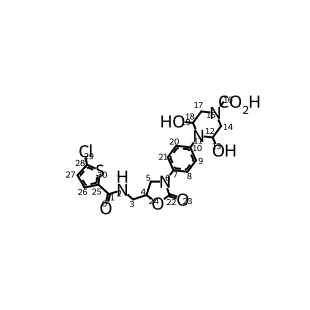 O=C(NCC1CN(c2ccc(N3C(O)CN(C(=O)O)CC3O)cc2)C(=O)O1)c1ccc(Cl)s1